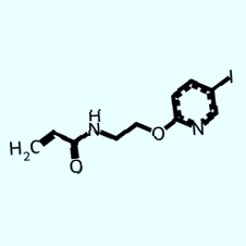 C=CC(=O)NCCOc1ccc(I)cn1